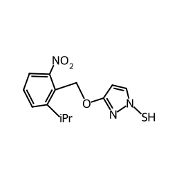 CC(C)c1cccc([N+](=O)[O-])c1COc1ccn(S)n1